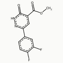 COC(=O)c1cc(-c2ccc(F)c(F)c2)n[nH]c1=O